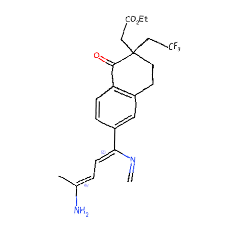 C=N/C(=C\C=C(/C)N)c1ccc2c(c1)CCC(CC(=O)OCC)(CC(F)(F)F)C2=O